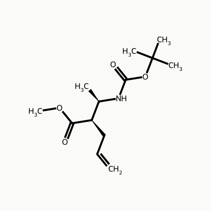 C=CC[C@@H](C(=O)OC)[C@@H](C)NC(=O)OC(C)(C)C